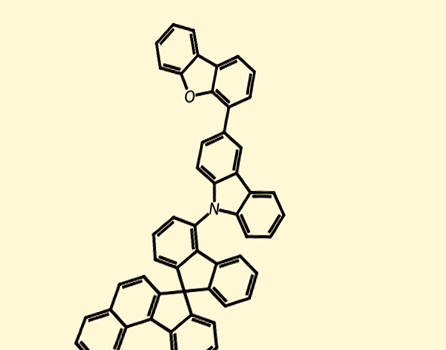 c1ccc2c(c1)-c1c(-n3c4ccccc4c4cc(-c5cccc6c5oc5ccccc56)ccc43)cccc1C21c2ccccc2-c2c1ccc1ccccc21